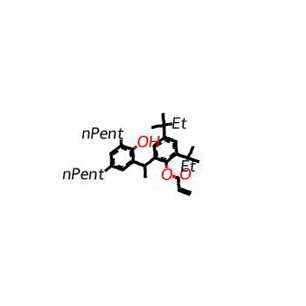 C=CC(=O)Oc1c(C(C)c2cc(CCCCC)cc(CCCCC)c2O)cc(C(C)(C)CC)cc1C(C)(C)CC